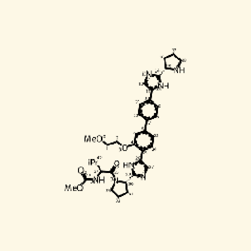 COCCOc1cc(-c2ccc(-c3cnc([C@@H]4CCCN4)[nH]3)cc2)ccc1-c1cnc([C@@H]2CCCN2C(=O)[C@@H](NC(=O)OC)C(C)C)[nH]1